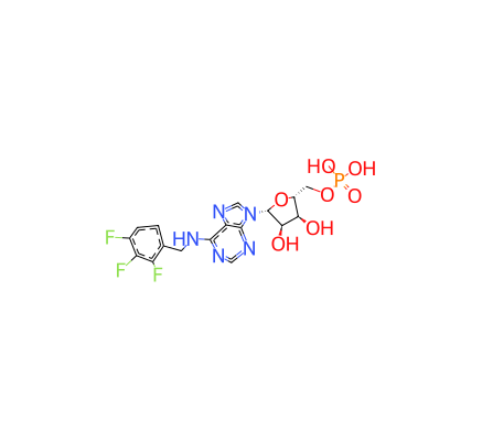 O=P(O)(O)OC[C@H]1O[C@@H](n2cnc3c(NCc4ccc(F)c(F)c4F)ncnc32)[C@H](O)[C@@H]1O